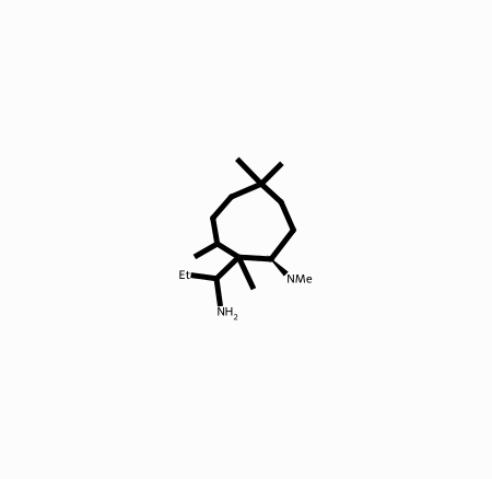 CCC(N)C1(C)C(C)CCC(C)(C)CC[C@H]1NC